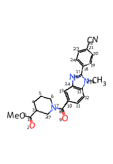 COC(=O)C1CCCN(C(=O)c2ccc3c(c2)nc(-c2ccc(C#N)cc2)n3C)C1